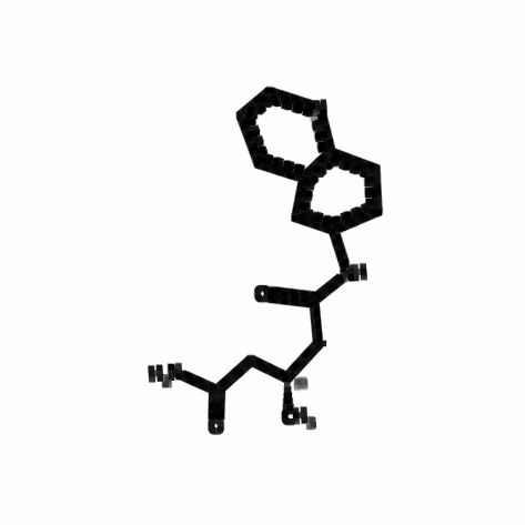 C[C@@H]([CH]C(=O)Nc1ccc2ncccc2c1)CC(N)=O